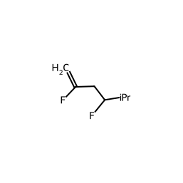 C=C(F)CC(F)C(C)C